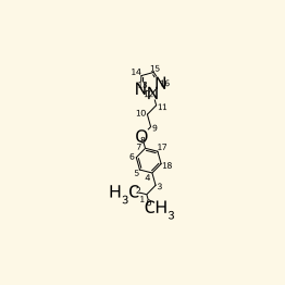 CC(C)Cc1ccc(OCCCn2nccn2)cc1